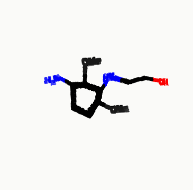 COc1ccc(N)c(OC)c1NCCO